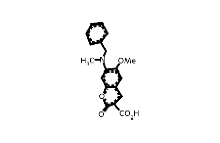 COc1cc2cc(C(=O)O)c(=O)oc2cc1N(C)Cc1ccccc1